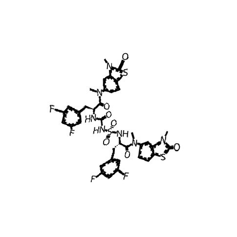 CN(C(=O)[C@H](Cc1cc(F)cc(F)c1)NC(=O)NS(=O)(=O)N[C@@H](Cc1cc(F)cc(F)c1)C(=O)N(C)c1ccc2sc(=O)n(C)c2c1)c1ccc2sc(=O)n(C)c2c1